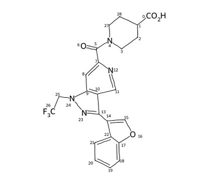 O=C(O)C1CCN(C(=O)c2cc3c(cn2)c(-c2coc4ccccc24)nn3CC(F)(F)F)CC1